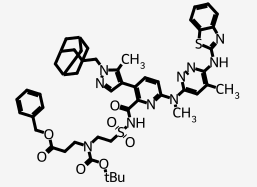 Cc1cc(N(C)c2ccc(-c3cnn(CC45CC6CC(CC(C6)C4)C5)c3C)c(C(=O)NS(=O)(=O)CCN(CCC(=O)OCc3ccccc3)C(=O)OC(C)(C)C)n2)nnc1Nc1nc2ccccc2s1